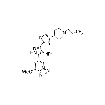 COc1cc(-c2[nH]nc(-c3ncc(C4CCN(CCC(F)(F)F)CC4)s3)c2C(C)C)cn2ncnc12